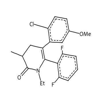 CCN1C(=O)C(C)CC(c2cc(OC)ccc2Cl)=C1c1c(F)cccc1F